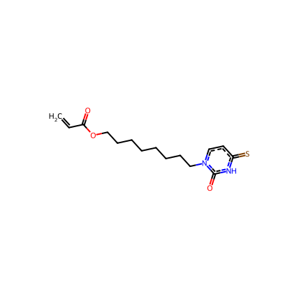 C=CC(=O)OCCCCCCCCn1ccc(=S)[nH]c1=O